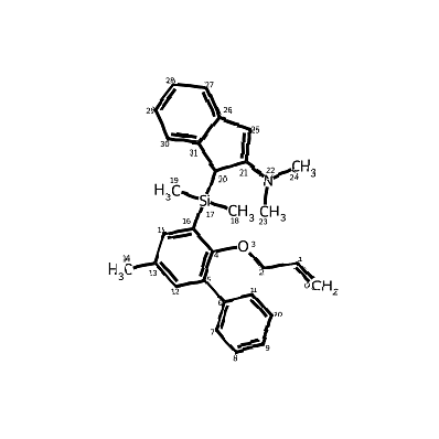 C=CCOc1c(-c2ccccc2)cc(C)cc1[Si](C)(C)C1C(N(C)C)=Cc2ccccc21